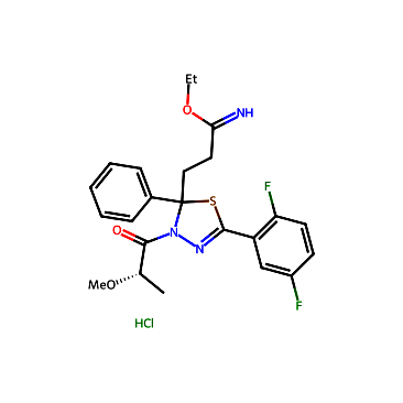 CCOC(=N)CCC1(c2ccccc2)SC(c2cc(F)ccc2F)=NN1C(=O)[C@H](C)OC.Cl